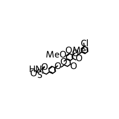 COc1c(OC(=O)c2cccc(Cl)c2)c(C)c2c(c1OC)OC(COc1ccc(CC3SC(=O)NC3=O)cc1)CC2=O